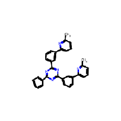 Cc1cccc(-c2cccc(-c3nc(-c4ccccc4)nc(-c4cccc(-c5cccc(C)n5)c4)n3)c2)n1